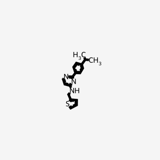 CC(C)c1ccc(-c2nccc(NCc3cccs3)n2)cc1